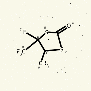 CC1SC(=O)SC1(F)C(F)(F)F